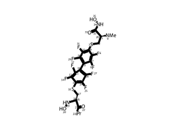 CN[C@@H](CSc1c(F)c(F)c(-c2c(F)c(F)c(SC[C@H](NO)C(=O)C(C)C)c(F)c2F)c(F)c1F)C(=O)NO